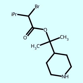 CC(C)C(Br)C(=O)OC(C)(C)C1CCNCC1